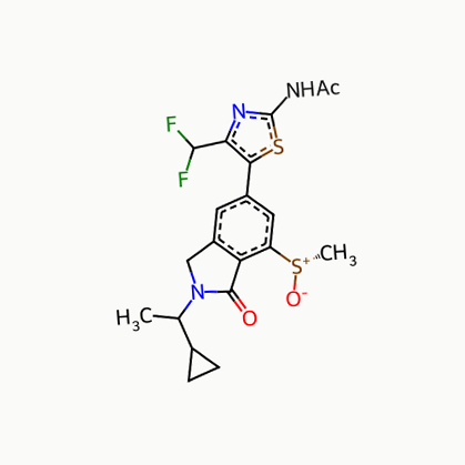 CC(=O)Nc1nc(C(F)F)c(-c2cc3c(c([S@+](C)[O-])c2)C(=O)N(C(C)C2CC2)C3)s1